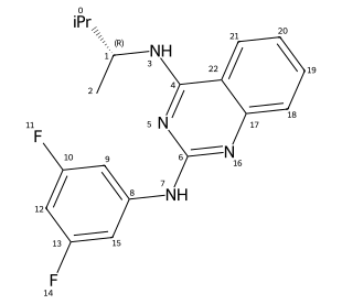 CC(C)[C@@H](C)Nc1nc(Nc2cc(F)cc(F)c2)nc2ccccc12